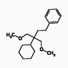 COCC(CCc1ccccc1)(COC)C1CCCCC1